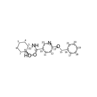 O=C(N[C@H]1CCCC[C@@H]1O)c1ccc(OCc2ccccc2)nc1